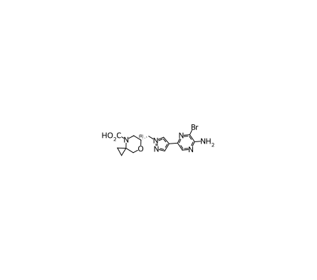 Nc1ncc(-c2cnn(C[C@H]3CN(C(=O)O)C4(CC4)CO3)c2)nc1Br